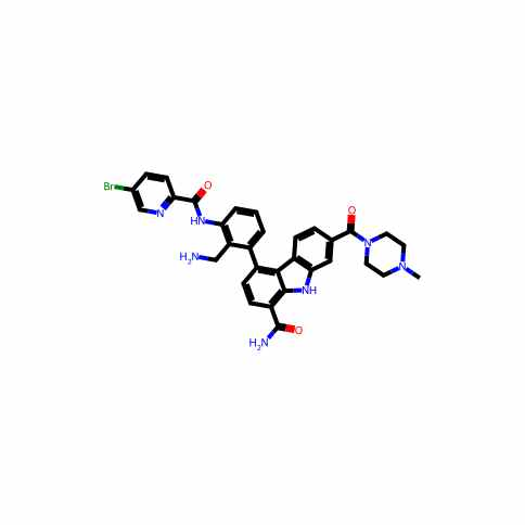 CN1CCN(C(=O)c2ccc3c(c2)[nH]c2c(C(N)=O)ccc(-c4cccc(NC(=O)c5ccc(Br)cn5)c4CN)c23)CC1